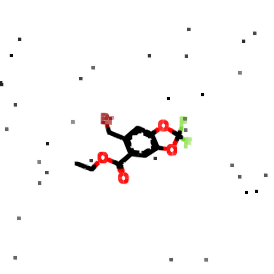 CCOC(=O)c1cc2c(cc1CBr)OC(F)(F)O2